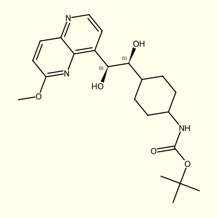 COc1ccc2nccc([C@H](O)[C@@H](O)C3CCC(NC(=O)OC(C)(C)C)CC3)c2n1